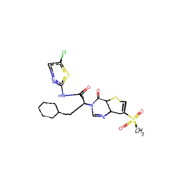 CS(=O)(=O)C1=CSC2C(=O)N(C(CC3CCCCC3)C(=O)Nc3ncc(Cl)s3)C=NC12